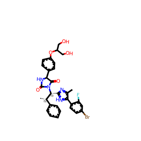 Cc1nc([C@H]([C@@H](C)c2ccccc2)N2C(=O)NC(c3ccc(OC(CO)CO)cc3)C2=O)[nH]c1-c1ccc(Br)cc1F